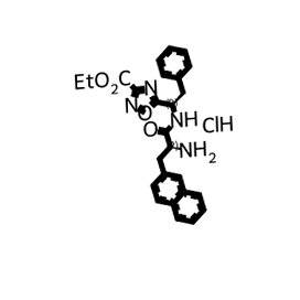 CCOC(=O)c1noc([C@@H](Cc2ccccc2)NC(=O)[C@H](N)Cc2ccc3ccccc3c2)n1.Cl